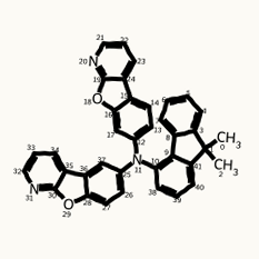 CC1(C)c2ccccc2-c2c(N(c3ccc4c(c3)oc3ncccc34)c3ccc4oc5ncccc5c4c3)cccc21